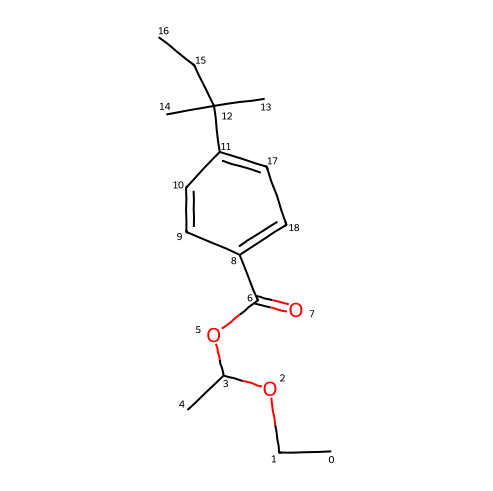 CCOC(C)OC(=O)c1ccc(C(C)(C)CC)cc1